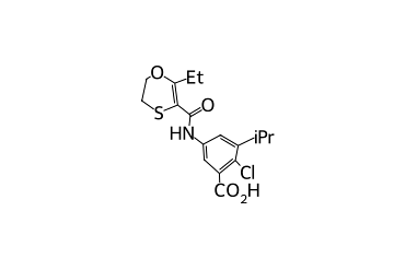 CCC1=C(C(=O)Nc2cc(C(=O)O)c(Cl)c(C(C)C)c2)SCCO1